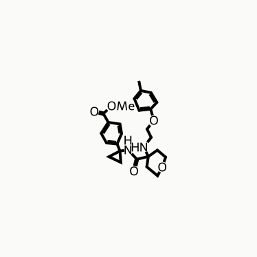 COC(=O)c1ccc(C2(NC(=O)C3(NCCOc4ccc(C)cc4)CCOCC3)CC2)cc1